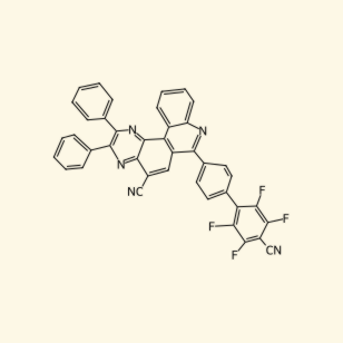 N#Cc1c(F)c(F)c(-c2ccc(-c3nc4ccccc4c4c3cc(C#N)c3nc(-c5ccccc5)c(-c5ccccc5)nc34)cc2)c(F)c1F